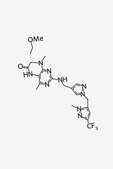 COCC[C@H]1C(=O)Nc2c(C)nc(NCc3cnn(Cc4cc(C(F)(F)F)nn4C)c3)nc2N1C